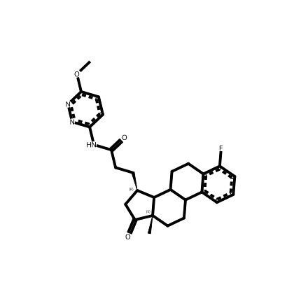 COc1ccc(NC(=O)CC[C@@H]2CC(=O)[C@@]3(C)CCC4c5cccc(F)c5CCC4C23)nn1